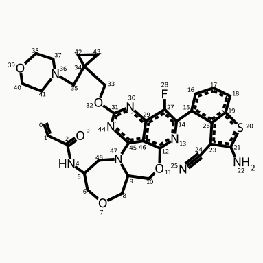 C=CC(=O)NC1COCC2COc3nc(-c4cccc5sc(N)c(C#N)c45)c(F)c4nc(OCC5(CN6CCOCC6)CC5)nc(c34)N2C1